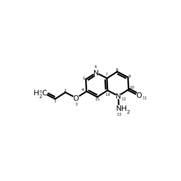 C=CCOc1cnc2ccc(=O)n(N)c2c1